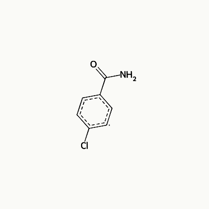 NC(=O)c1c[c]c(Cl)cc1